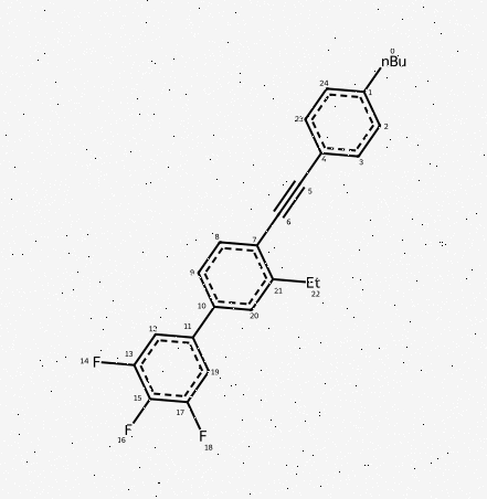 CCCCc1ccc(C#Cc2ccc(-c3cc(F)c(F)c(F)c3)cc2CC)cc1